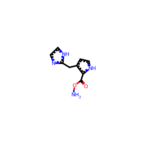 NOC(=O)c1[nH]ccc1Cc1ncc[nH]1